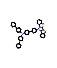 C1=CC2SC3C4Sc5ccccc5C4N(c4ccc(-c5ccc(N(c6ccc(-c7ccccc7)cc6)c6ccc(-c7ccccc7)cc6)cc5)cc4)C3C2C=C1